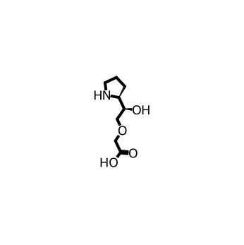 O=C(O)COC[C@H](O)[C@@H]1CCCN1